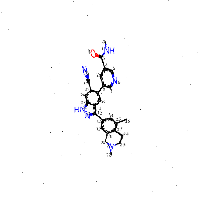 CNC(=O)c1cncc(-c2cc3c(-c4cc(C)c5c(c4)CN(C)CC5)n[nH]c3cc2C#N)c1